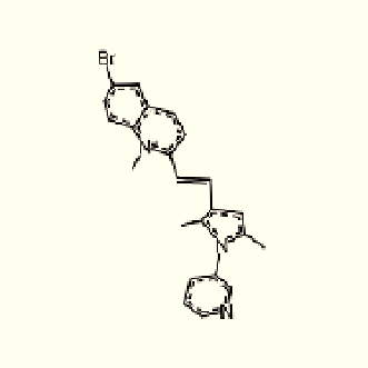 Cc1cc(/C=C/c2ccc3cc(Br)ccc3[n+]2C)c(C)n1-c1cccnc1